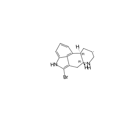 Brc1[nH]c2cccc3c2c1C[C@H]1NC[CH]C[C@H]31